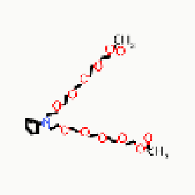 CC(=O)OCCOCCOCCOCCOCCN(CCOCCOCCOCCOCCOC(C)=O)c1ccccc1